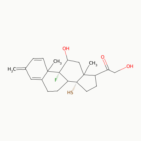 C=C1C=CC2(C)C(=C1)CCC1[C@]2(F)C(O)CC2(C)C(C(=O)CO)CC[C@@]12S